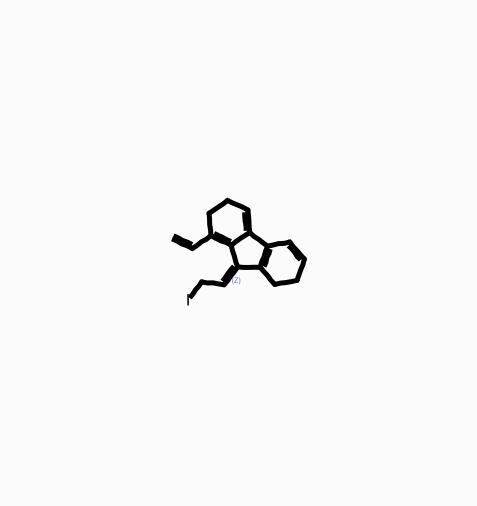 C=CC1=C2C(=CCC1)C1=C(CCC=C1)/C2=C/CI